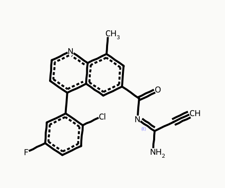 C#C/C(N)=N\C(=O)c1cc(C)c2nccc(-c3cc(F)ccc3Cl)c2c1